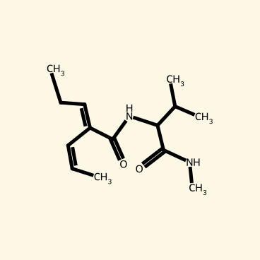 C/C=C\C(=C/CC)C(=O)NC(C(=O)NC)C(C)C